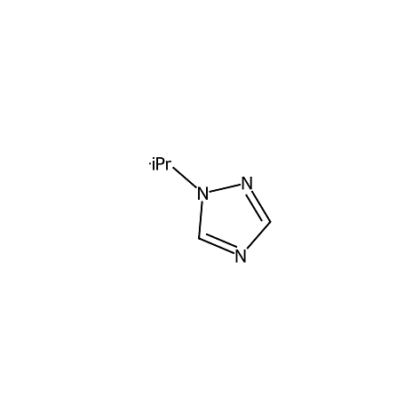 C[C](C)n1cncn1